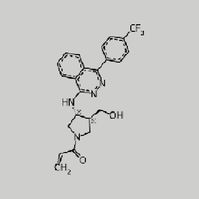 C=CC(=O)N1C[C@H](CO)[C@@H](Nc2nnc(-c3ccc(C(F)(F)F)cc3)c3ccccc23)C1